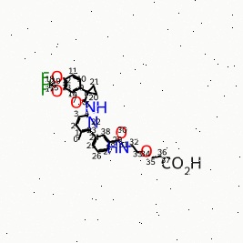 Cc1ccc(NC(=O)C2(c3ccc4c(c3)OC(F)(F)O4)CC2)nc1-c1cccc(C(=O)NCCOCCC(=O)O)c1